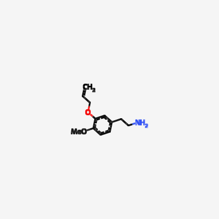 C=CCOc1cc(CCN)ccc1OC